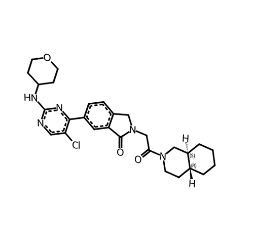 O=C(CN1Cc2ccc(-c3nc(NC4CCOCC4)ncc3Cl)cc2C1=O)N1CC[C@H]2CCCC[C@@H]2C1